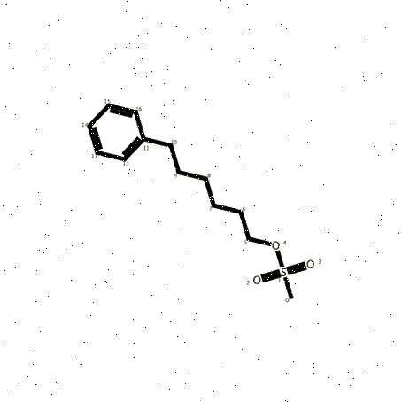 CS(=O)(=O)OCCCCCCc1ccccc1